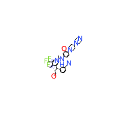 C=C(C(=C/C)/C(=C\N=C(/C)Nc1ccc(N2CCC(N3CCN(C)CC3)CC2)c(OC)c1)C(F)(F)F)C(CCOC)c1cccc(C#N)c1